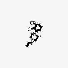 C=CCN1CCN(c2cccc(Cl)c2Cl)CC1